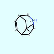 CC1(C)CC2C=CC1CCNC2